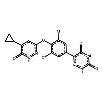 O=c1[nH]nc(-c2cc(Cl)c(Oc3cc(C4CC4)c(=O)[nH]n3)c(Cl)c2)c(=O)[nH]1